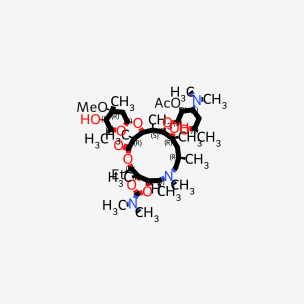 CC[C@H]1OC(=O)[C@H](C)C(O[C@H]2C[C@@](C)(OC)[C@@H](O)[C@H](C)O2)[C@H](C)[C@@H](O[C@@H]2O[C@H](C)C[C@H](N(C)C)[C@H]2OC(C)=O)[C@](C)(O)C[C@@H](C)CN(C)[C@H](C)[C@H]2OC(N(C)C)O[C@@]21C